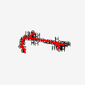 CCOC(=O)CCC(=O)c1cc2c(F)c(OCCCOc3c(OC)cc4c(c3F)CN(C(=O)CCC(=O)O[C@@H](C)CNC(=O)CC[C@H](NC(=O)CCCCCN3C(=O)C=CC3=O)C(=O)NCC(=O)NCC(=O)NCC(=O)NCC(=O)NCCOCCOCCOCCOCCOCCOCCOCCOCCC(=O)N[C@@H](CCC(=O)NC[C@H](O)[C@@H](O)[C@H](O)[C@H](O)CO)C(=O)NC[C@H](O)[C@@H](O)[C@H](O)[C@H](O)CO)C4)c(OC)cc2s1